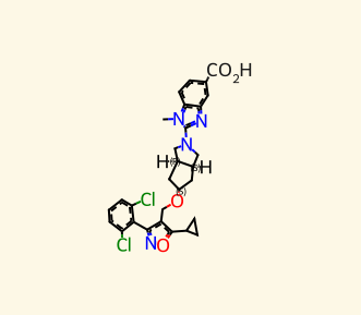 Cn1c(N2C[C@H]3C[C@H](OCc4c(-c5c(Cl)cccc5Cl)noc4C4CC4)C[C@H]3C2)nc2cc(C(=O)O)ccc21